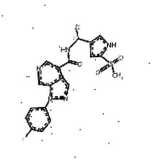 CC[C@H](NC(=O)c1cncc2c1cnn2-c1ccc(F)cc1)c1c[nH]c(S(C)(=O)=O)c1